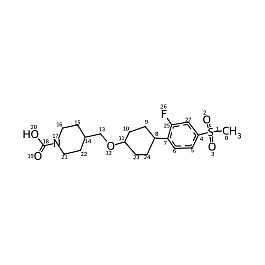 CS(=O)(=O)c1ccc(C2CCC(OCC3CCN(C(=O)O)CC3)CC2)c(F)c1